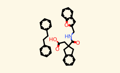 O=C(O)CC1(C(=O)NCc2cc3ccccc3o2)Cc2ccccc2C1.c1ccc(CCc2ccccc2)cc1